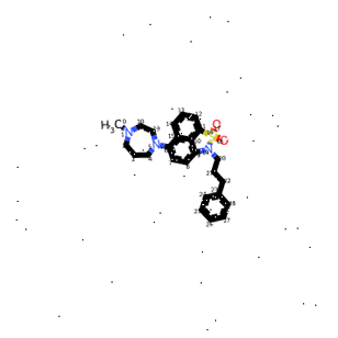 CN1CCCN(c2ccc3c4c(cccc24)S(=O)(=O)N3CCCc2ccccc2)CC1